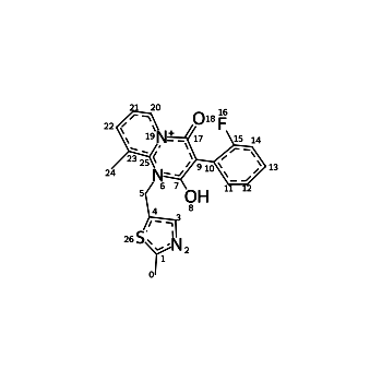 Cc1ncc(Cn2c(O)c(-c3ccccc3F)c(=O)[n+]3cccc(C)c23)s1